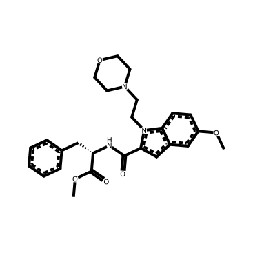 COC(=O)[C@H](Cc1ccccc1)NC(=O)c1cc2cc(OC)ccc2n1CCN1CCOCC1